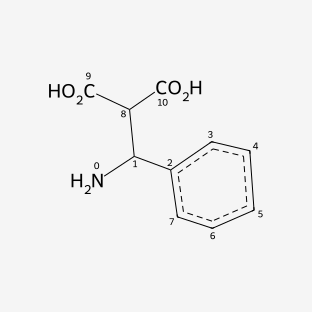 NC(c1ccccc1)C(C(=O)O)C(=O)O